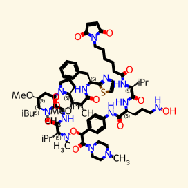 CC[C@H](C)[C@@H]([C@@H](CC(=O)N1CCC[C@H]1[C@H](OC)[C@@H](C)C(=O)N[C@@H](Cc1ccccc1)c1nccs1)OC)N(C)C(=O)[C@@H](NC(=O)[C@H](C(C)C)N(C)OC(C(=O)N1CCN(C)CC1)c1ccc(NC(=O)[C@H](CCCNO)NC(=O)[C@@H](NC(=O)CCCCCN2C(=O)C=CC2=O)C(C)C)cc1)C(C)C